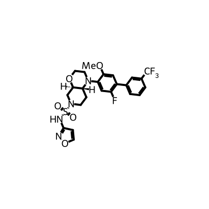 COc1cc(-c2cccc(C(F)(F)F)c2)c(F)cc1N1CCO[C@@H]2CN(S(=O)(=O)Nc3ccon3)CC[C@H]21